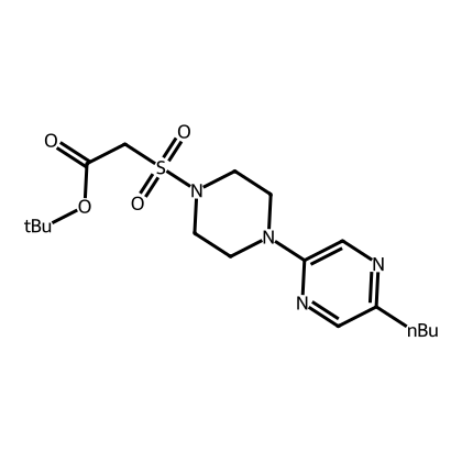 CCCCc1cnc(N2CCN(S(=O)(=O)CC(=O)OC(C)(C)C)CC2)cn1